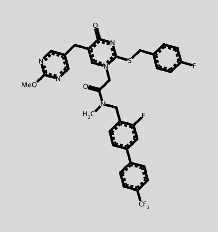 COc1ncc(Cc2cn(CC(=O)N(C)Cc3ccc(-c4ccc(C(F)(F)F)cc4)cc3F)c(SCc3ccc(F)cc3)nc2=O)cn1